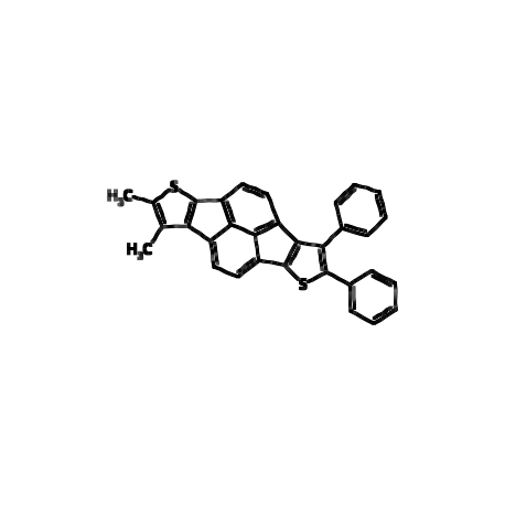 Cc1sc2c(c1C)-c1ccc3c4c(ccc-2c14)-c1c-3sc(-c2ccccc2)c1-c1ccccc1